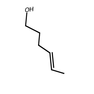 CC=CCCCO